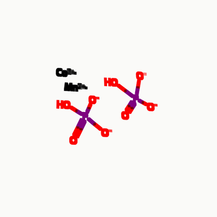 O=P([O-])([O-])O.O=P([O-])([O-])O.[Co+2].[Mn+2]